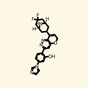 Oc1cc(-n2ccnc2)ccc1-c1cc2c(nn1)C(C1C[C@@H]3CC(F)(F)C[C@H](C1)N3)=CCO2